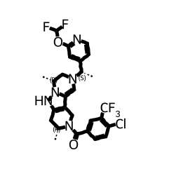 C[C@@H]1CC2=C(CN1C(=O)c1ccc(Cl)c(C(F)(F)F)c1)C1=CN([C@@H](C)c3ccnc(OC(F)F)c3)C[C@@H](C)N1N2